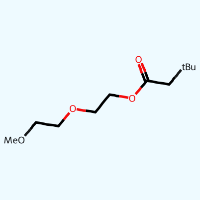 COCCOCCOC(=O)CC(C)(C)C